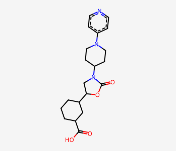 O=C(O)C1CCCC(C2CN(C3CCN(c4ccncc4)CC3)C(=O)O2)C1